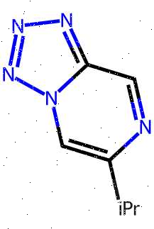 CC(C)c1cn2nnnc2cn1